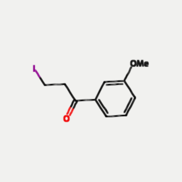 COc1cccc(C(=O)CCI)c1